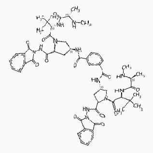 CN[C@@H](C)C(=O)NC(C(=O)N1C[C@@H](NC(=O)c2cccc(C(=O)N[C@H]3CC(C(=O)NN4C(=O)c5ccccc5C4=O)N(C(=O)[C@@H](NC(=O)[C@H](C)NC)C(C)(C)C)C3)c2)CC1C(=O)NN1C(=O)c2ccccc2C1=O)C(C)(C)C